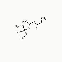 CCC([O])OC(C)OC(C)(SC)SC